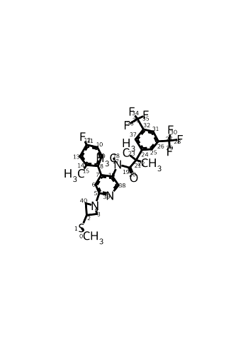 CSC1CN(c2cc(-c3ccc(F)cc3C)c(N(C)C(=O)C(C)(C)c3cc(C(F)(F)F)cc(C(F)(F)F)c3)cn2)C1